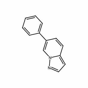 c1ccc(-c2ccc3ccnn3c2)cc1